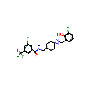 O=C(NCC1CCC(NCc2cccc(F)c2O)CC1)c1cc(F)cc(C(F)(F)F)c1